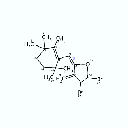 C=C1/C(=C\C2=C(C)C(C)(C)CCC2(C)C)OC(Br)C1Br